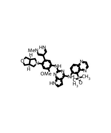 CN/C=C(\C=N)c1cc(Nc2nc(Nc3ccc4nccnc4c3P(C)(C)=O)c3cc[nH]c3n2)c(OC)cc1N1C[C@H]2COC[C@H]2C1